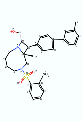 Cc1cccc(-c2ccc([C@@H]3[C@@H](CO)N4CCCCN(S(=O)(=O)c5ccccc5[N+](=O)[O-])C[C@@H]34)cc2)c1